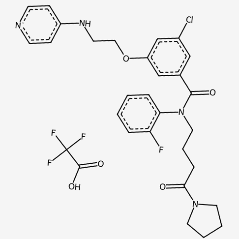 O=C(CCCN(C(=O)c1cc(Cl)cc(OCCNc2ccncc2)c1)c1ccccc1F)N1CCCC1.O=C(O)C(F)(F)F